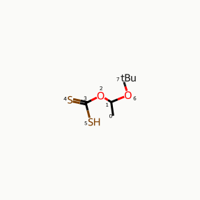 CC(OC(=S)S)OC(C)(C)C